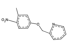 Cc1cc(OCc2ccccn2)ccc1[N+](=O)[O-]